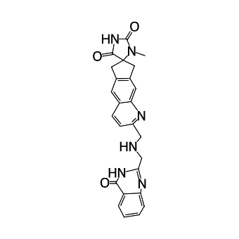 CN1C(=O)NC(=O)C12Cc1cc3ccc(CNCc4nc5ccccc5c(=O)[nH]4)nc3cc1C2